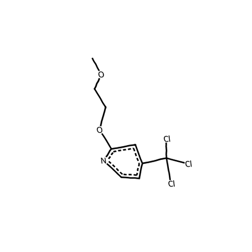 COCCOc1cc(C(Cl)(Cl)Cl)ccn1